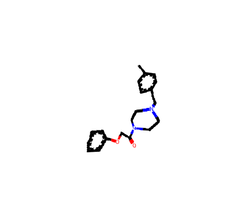 Cc1ccc(CN2CCN(C(=O)COc3ccccc3)CC2)cc1